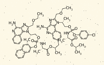 CCOCc1nc2c(N)nc3cc(CC(C)OC(=O)[C@H](C)N[P@](=O)(OC[C@H](C)n4c(COCC)nc5c(N)nc6ccccc6c54)Oc4ccc5ccccc5c4)ccc3c2n1[C@H](C)CO[P@@](=O)(N[C@@H](C)C(=O)OC(C)C)Oc1ccc(Cl)cc1